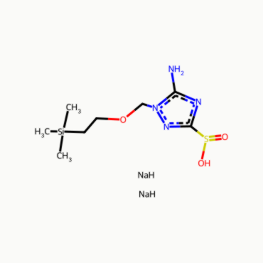 C[Si](C)(C)CCOCn1nc(S(=O)O)nc1N.[NaH].[NaH]